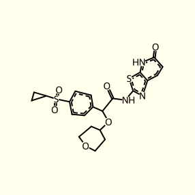 O=C(Nc1nc2ccc(=O)[nH]c2s1)C(OC1CCOCC1)c1ccc(S(=O)(=O)C2CC2)cc1